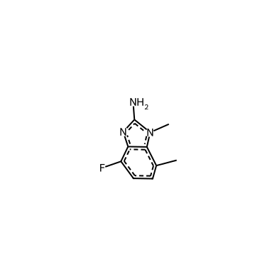 Cc1ccc(F)c2nc(N)n(C)c12